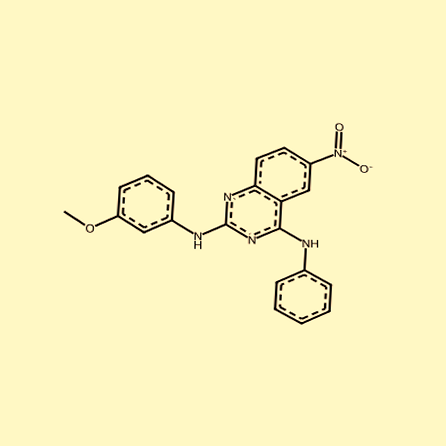 COc1cccc(Nc2nc(Nc3ccccc3)c3cc([N+](=O)[O-])ccc3n2)c1